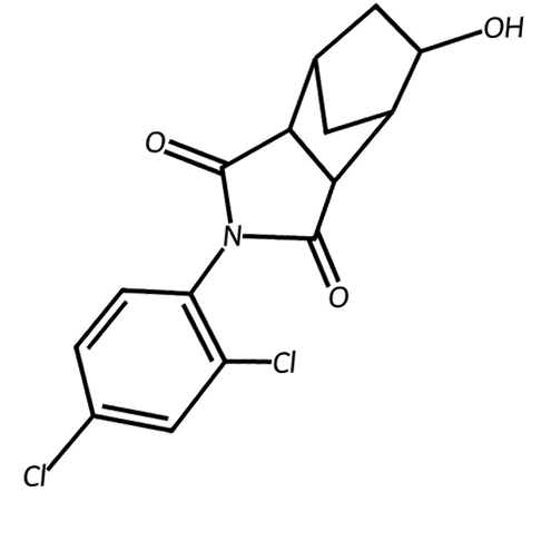 O=C1C2C3CC(O)C(C3)C2C(=O)N1c1ccc(Cl)cc1Cl